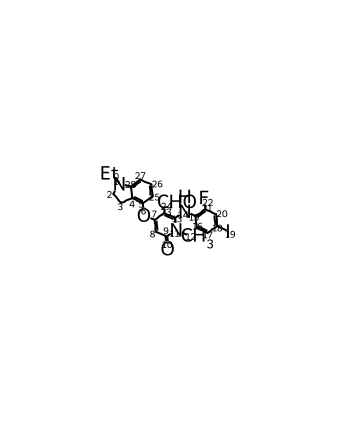 CCN1CCc2c(Oc3cc(=O)n(C)c(Nc4ccc(I)cc4F)c3C=O)cccc21